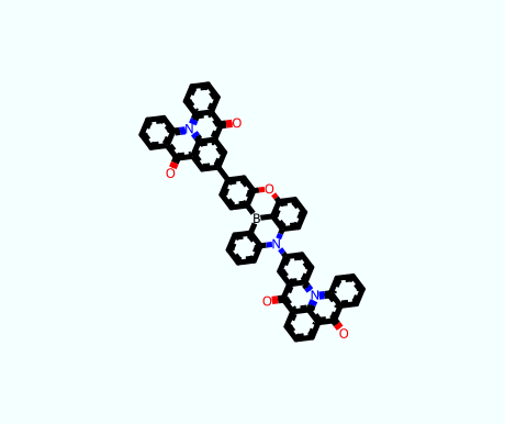 O=c1c2ccccc2n2c3ccc(N4c5ccccc5B5c6ccc(-c7cc8c(=O)c9ccccc9n9c%10ccccc%10c(=O)c(c7)c89)cc6Oc6cccc4c65)cc3c(=O)c3cccc1c32